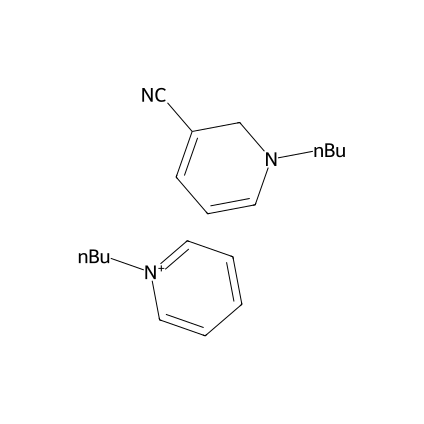 CCCCN1C=CC=C(C#N)C1.CCCC[n+]1ccccc1